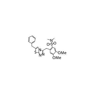 COc1cc(Cc2nnc3sc(Cc4ccccc4)cn23)c(S(=O)(=O)N(C)C)cc1OC